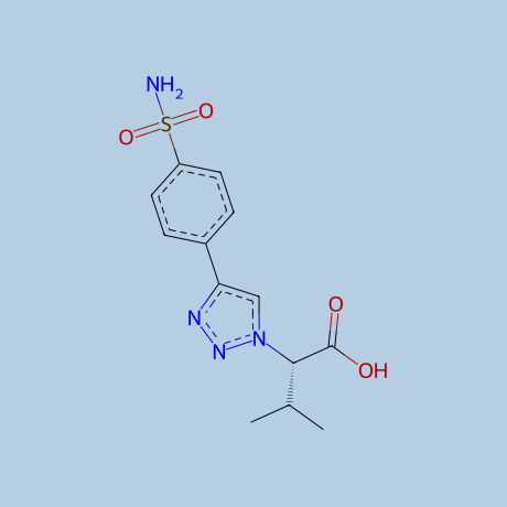 CC(C)[C@@H](C(=O)O)n1cc(-c2ccc(S(N)(=O)=O)cc2)nn1